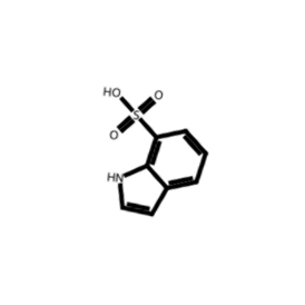 O=S(=O)(O)c1cccc2cc[nH]c12